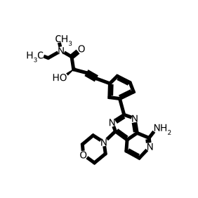 CCN(C)C(=O)[C@H](O)C#Cc1cccc(-c2nc(N3CCOCC3)c3ccnc(N)c3n2)c1